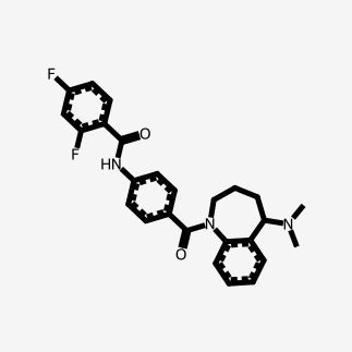 CN(C)C1CCCN(C(=O)c2ccc(NC(=O)c3ccc(F)cc3F)cc2)c2ccccc21